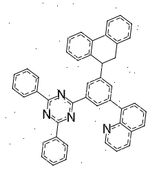 c1ccc(-c2nc(-c3ccccc3)nc(-c3cc(-c4cccc5cccnc45)cc(C4Cc5ccccc5-c5ccccc54)c3)n2)cc1